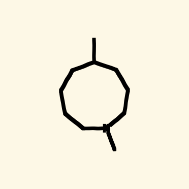 CC1CCCCN(C)CCC1